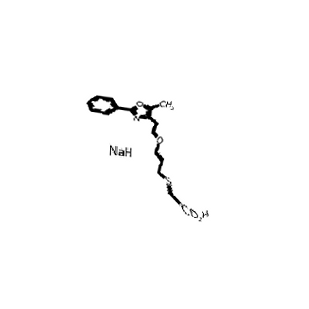 Cc1oc(-c2ccccc2)nc1CCOCCCSCC(=O)O.[NaH]